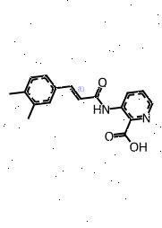 Cc1ccc(/C=C/C(=O)Nc2cccnc2C(=O)O)cc1C